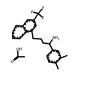 CC(=O)O.Cc1ccc(C(N)CCCc2cc(C(F)(F)F)cc3ccccc23)cc1C